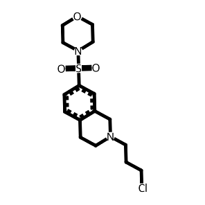 O=S(=O)(c1ccc2c(c1)CN(CCCCl)CC2)N1CCOCC1